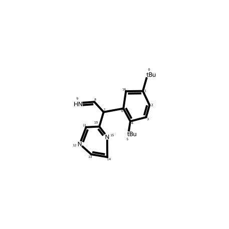 CC(C)(C)c1ccc(C(C)(C)C)c(C(C=N)c2cnccn2)c1